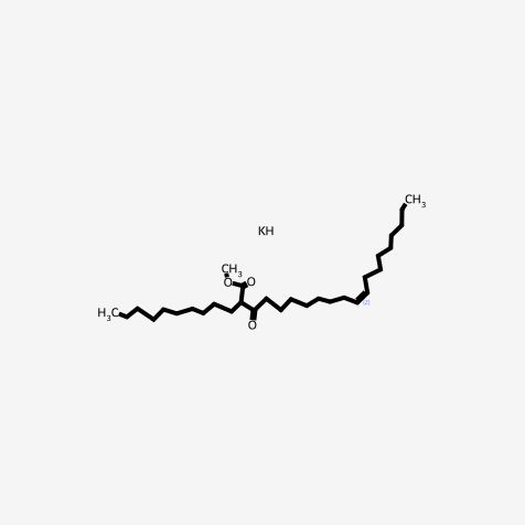 CCCCCCCC/C=C\CCCCCCCC(=O)C(CCCCCCCCCC)C(=O)OC.[KH]